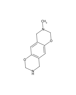 CN1COc2cc3c(cc2C1)OCNC3